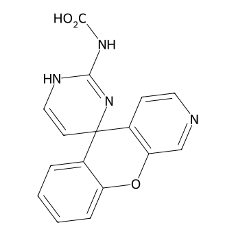 O=C(O)NC1=NC2(C=CN1)c1ccccc1Oc1cnccc12